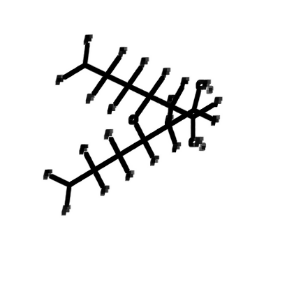 FC(F)C(F)(F)C(F)(F)C(F)(OC(F)(C(F)(F)C(F)C(F)(F)F)C(F)(F)C(F)(F)C(F)F)C(F)(F)C(F)C(F)(F)F